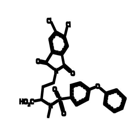 CN(C(CCN1C(=O)c2cc(Cl)c(Cl)cc2C1=O)C(=O)O)S(=O)(=O)c1ccc(Oc2ccccc2)cc1